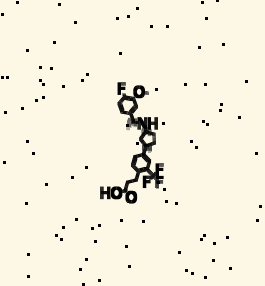 COc1cc([C@@H](C)N[C@@H]2CC[C@@H](c3ccc(CCC(=O)O)c(C(F)(F)F)c3)C2)ccc1F